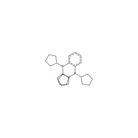 c1ccc(P(C2CCCC2)C2CCCC2)c(P(C2CCCC2)C2CCCC2)c1